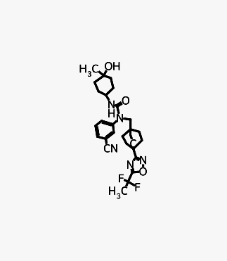 CC1(O)CCC(NC(=O)N(CC23CCC(c4noc(C(C)(F)F)n4)(CC2)CC3)c2cccc(C#N)c2)CC1